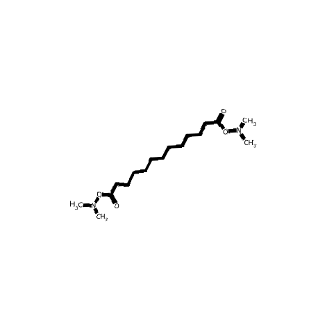 CN(C)OC(=O)CCCCCCCCCCCC(=O)ON(C)C